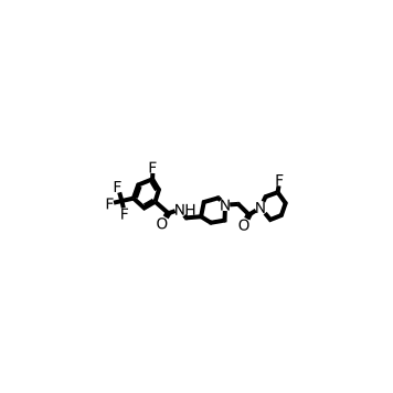 O=C(NCC1CCN(CC(=O)N2CCCC(F)C2)CC1)c1cc(F)cc(C(F)(F)F)c1